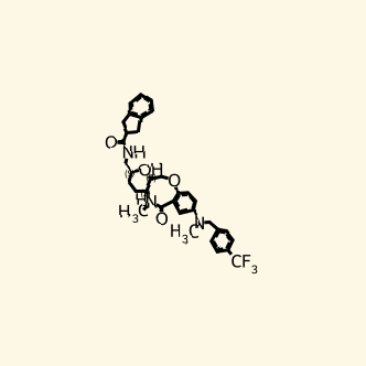 CN(Cc1ccc(C(F)(F)F)cc1)c1ccc2c(c1)C(=O)N(C)[C@H]1CC[C@@H](CNC(=O)C3Cc4ccccc4C3)O[C@H]1CO2